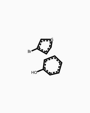 Brc1ccsc1.Oc1ccccc1